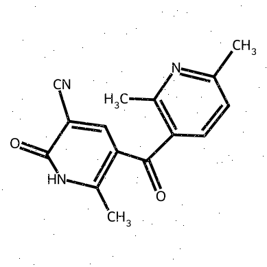 Cc1ccc(C(=O)c2cc(C#N)c(=O)[nH]c2C)c(C)n1